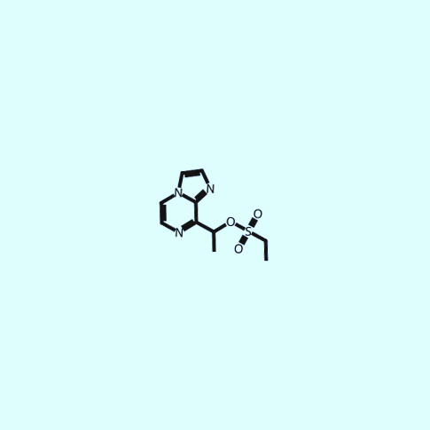 CCS(=O)(=O)OC(C)c1nccn2ccnc12